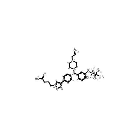 C=CCN1CCN([C@@H](c2ccc(-c3nnn(CCCC(=O)O)n3)cc2)c2cccc(O[Si](C)(C)C(C)(C)C)c2)CC1